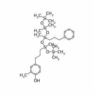 Cc1cc(CCC[Si](C)(O[Si](C)(C)C)O[Si](C)(CCCc2ccccc2)O[Si](C)(C)O[Si](C)(C)C)ccc1O